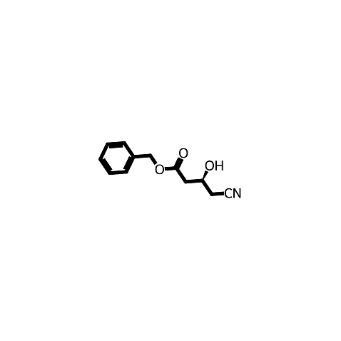 N#CC[C@H](O)CC(=O)OCc1ccccc1